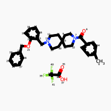 Cc1ccc(C(=O)N2CCC3(CCN(Cc4ccccc4OCc4ccccc4)CC3)CC2)cc1.O=C(O)C(F)(F)F